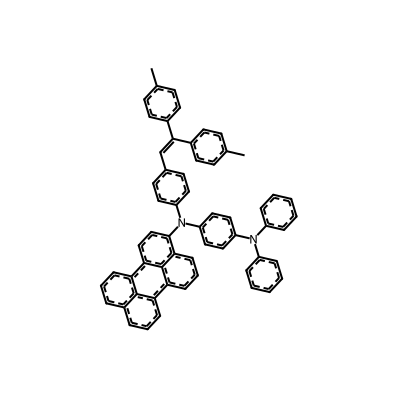 Cc1ccc(C(=Cc2ccc(N(c3ccc(N(c4ccccc4)c4ccccc4)cc3)c3ccc4c5cccc6cccc(c7cccc3c74)c65)cc2)c2ccc(C)cc2)cc1